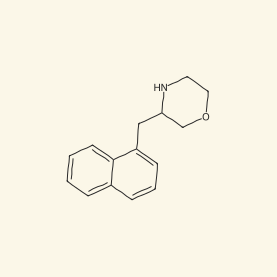 c1ccc2c(CC3COCCN3)cccc2c1